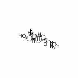 Cc1cn(CC(=O)[C@H]2CC[C@H]3[C@@H]4C[C@@H](F)[C@H]5C[C@](C)(O)CC[C@@H]5[C@H]4CC[C@]23C)nn1